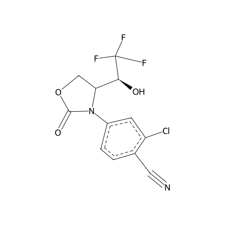 N#Cc1ccc(N2C(=O)OCC2[C@H](O)C(F)(F)F)cc1Cl